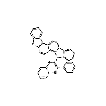 C1=CC2=NC(n3c4ccccc4c4ccc5c(ccc6oc7ccccc7c65)c43)=C(c3ccccc3)NC2C=C1